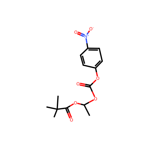 CC(OC(=O)Oc1ccc([N+](=O)[O-])cc1)OC(=O)C(C)(C)C